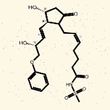 CS(=O)(=O)NC(=O)CCC/C=C\CC1C(=O)C[C@@H](O)[C@@H]1/C=C/[C@@H](O)COc1ccccc1